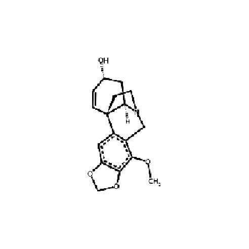 COc1c2c(cc3c1OCO3)[C@]13C=C[C@H](O)C[C@H]1N(CC3)C2